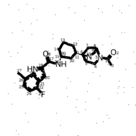 CC(=O)N1CC2CCC1CN2[C@@H]1CCC[C@@H](NC(=O)c2cc3c(F)ccc(C)c3[nH]2)C1